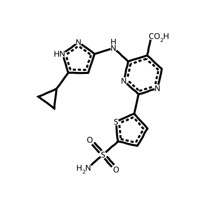 NS(=O)(=O)c1ccc(-c2ncc(C(=O)O)c(Nc3cc(C4CC4)[nH]n3)n2)s1